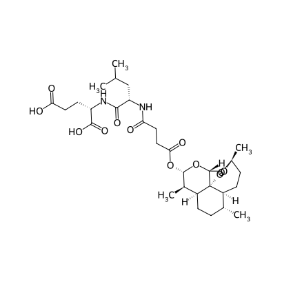 CC(C)C[C@H](NC(=O)CCC(=O)O[C@@H]1O[C@@H]2O[C@@]3(C)CC[C@H]4[C@H](C)CC[C@@H]([C@H]1C)[C@@]24OO3)C(=O)N[C@@H](CCC(=O)O)C(=O)O